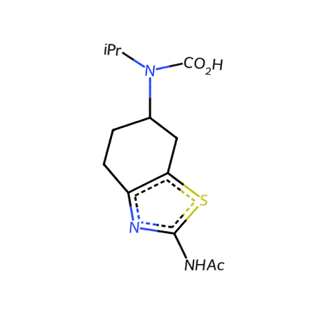 CC(=O)Nc1nc2c(s1)CC(N(C(=O)O)C(C)C)CC2